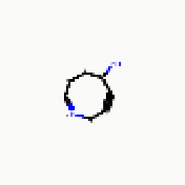 NC1C#CC/N=C\CC1